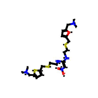 CN(C)Cc1ccc(CSCCN/C(=C/[N+](=O)[O-])NCCSCc2ccc(CN(C)C)s2)o1